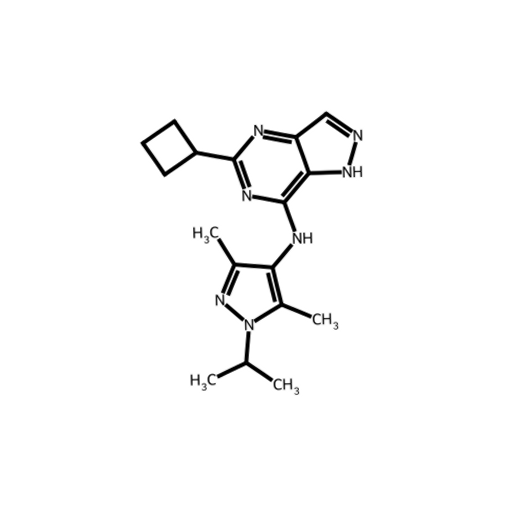 Cc1nn(C(C)C)c(C)c1Nc1nc(C2CCC2)nc2cn[nH]c12